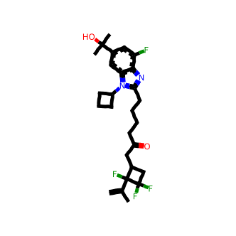 C=C(C)C1(F)C(CC(=O)CCCCc2nc3c(F)cc(C(C)(C)O)cc3n2C2CCC2)CC1(F)F